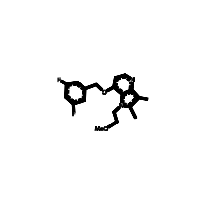 COCCn1c(C)c(C)c2nccc(OCc3cc(F)cc(F)c3)c21